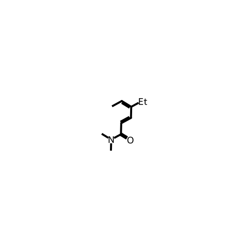 CC=C(C=CC(=O)N(C)C)CC